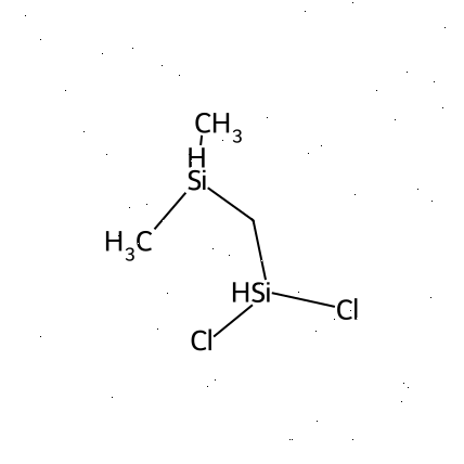 C[SiH](C)C[SiH](Cl)Cl